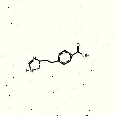 O=C(O)c1ccc(CCC2CNC=N2)cc1